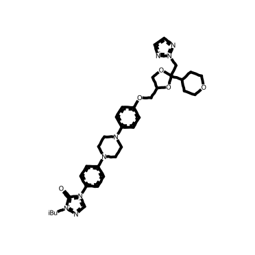 CCC(C)n1ncn(-c2ccc(N3CCN(c4ccc(OCC5COC(Cn6nccn6)(C6CCOCC6)O5)cc4)CC3)cc2)c1=O